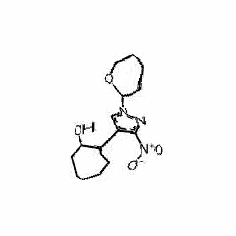 O=[N+]([O-])c1nn(C2CCCCO2)cc1C1CCCCC1O